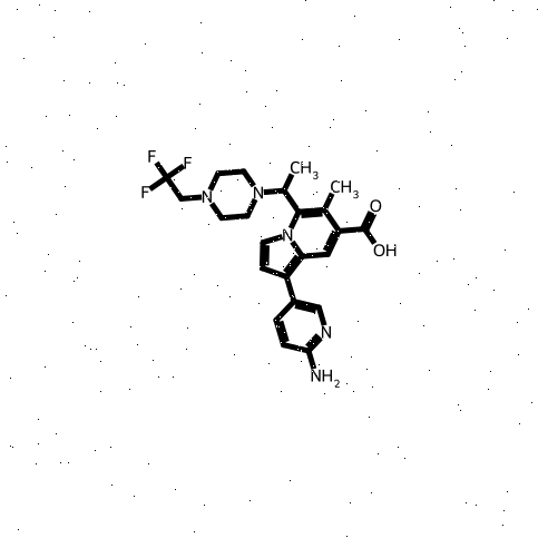 Cc1c(C(=O)O)cc2c(-c3ccc(N)nc3)ccn2c1C(C)N1CCN(CC(F)(F)F)CC1